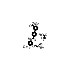 COC(=O)c1cccc(-c2ccc(C(=O)Nc3ccc(OC)c(OCCN(C(C)C)C(C)C)c3)cc2)c1.O=C(O)C(F)(F)F